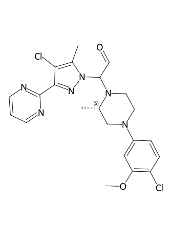 COc1cc(N2CCN(C(C=O)n3nc(-c4ncccn4)c(Cl)c3C)[C@@H](C)C2)ccc1Cl